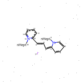 CCCCCCCN1C=CC=CC1=CC=Cc1cccc[n+]1CCCCCCC.[I-]